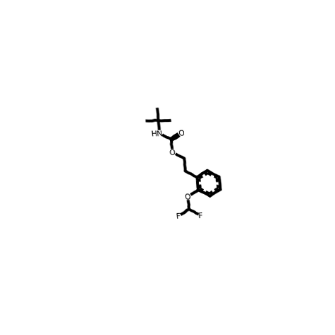 CC(C)(C)NC(=O)OCCc1ccccc1OC(F)F